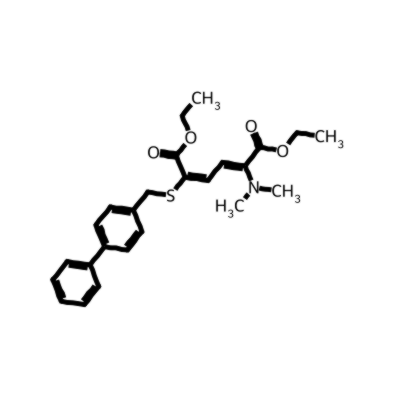 CCOC(=O)C(=CC=C(C(=O)OCC)N(C)C)SCc1ccc(-c2ccccc2)cc1